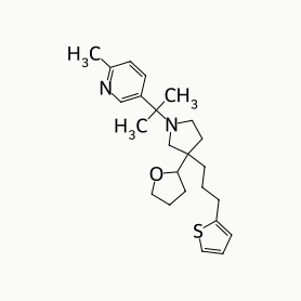 Cc1ccc(C(C)(C)N2CCC(CCCc3cccs3)(C3CCCO3)C2)cn1